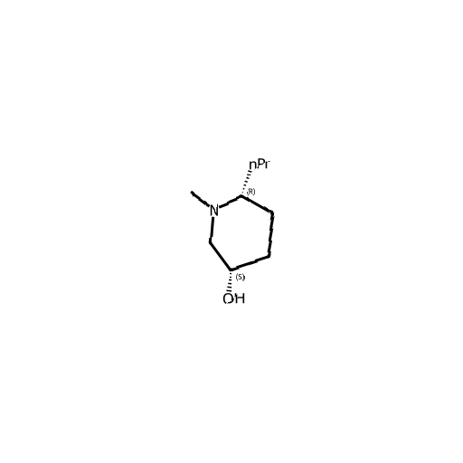 CCC[C@@H]1CC[C@H](O)CN1C